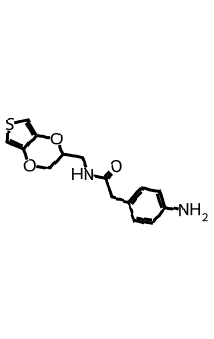 Nc1ccc(CC(=O)NCC2COc3cscc3O2)cc1